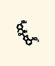 Cc1ccc(C(C)(C)C)cc1NC(=O)c1cc2cccc([N+](=O)[O-])c2s1